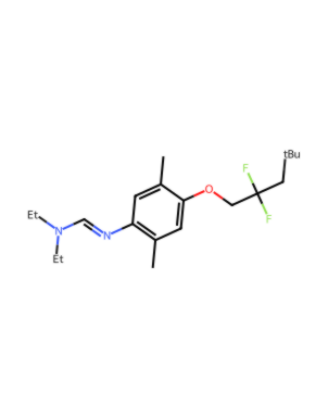 CCN(/C=N/c1cc(C)c(OCC(F)(F)CC(C)(C)C)cc1C)CC